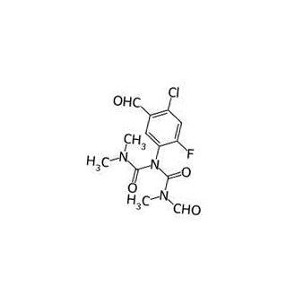 CN(C)C(=O)N(C(=O)N(C)C=O)c1cc(C=O)c(Cl)cc1F